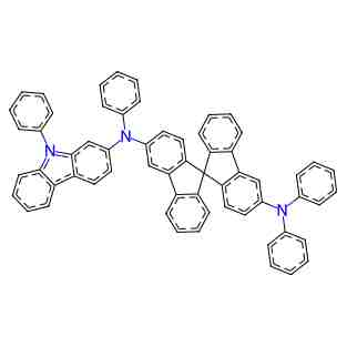 c1ccc(N(c2ccccc2)c2ccc3c(c2)-c2ccccc2C32c3ccccc3-c3cc(N(c4ccccc4)c4ccc5c6ccccc6n(-c6ccccc6)c5c4)ccc32)cc1